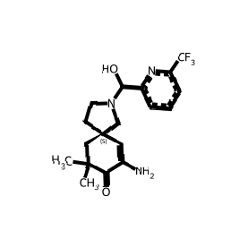 CC1(C)C[C@@]2(C=C(N)C1=O)CCN(C(O)c1cccc(C(F)(F)F)n1)C2